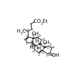 CCOC(=O)CCC(C)C1=CC[C@H]2[C@@H]3CC=C4C[C@@H](O)CC[C@]4(C)[C@H]3CC[C@]12C